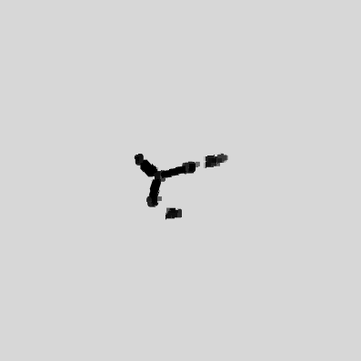 [O]=[Ti]([O-])[O-].[Zn+2].[Zn]